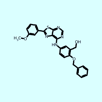 COc1cccc(-c2nc3c(Nc4ccc(OCc5ccccc5)c(CO)c4)ncnc3s2)c1